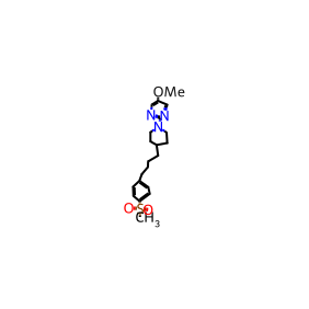 COc1cnc(N2CCC(CCCCc3ccc(S(C)(=O)=O)cc3)CC2)nc1